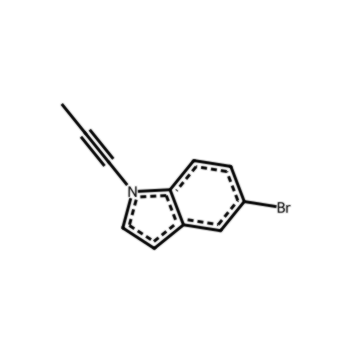 CC#Cn1ccc2cc(Br)ccc21